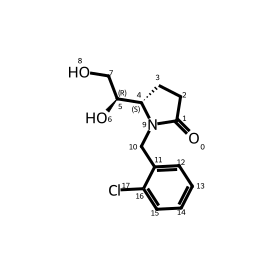 O=C1CC[C@@H]([C@@H](O)CO)N1Cc1ccccc1Cl